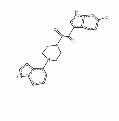 O=C(C(=O)N1CCN(c2cccc3[nH]ccc23)CC1)c1c[nH]c2cc(Cl)ccc12